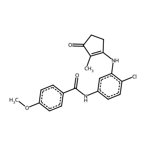 COc1ccc(C(=O)Nc2ccc(Cl)c(NC3=C(C)C(=O)CC3)c2)cc1